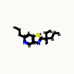 CCCc1cc2sc(C(C)(CC)CCC)nc2cn1